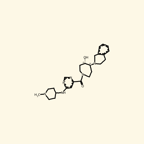 CN1CCC(Nc2cc(C(=O)N3CC[C@H](O)[C@@H](N4CCc5ccccc5C4)CC3)ncn2)CC1